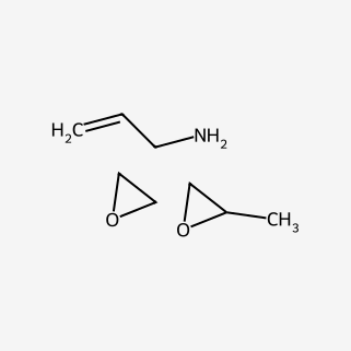 C1CO1.C=CCN.CC1CO1